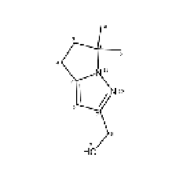 CC1(C)CCc2cc(CO)nn21